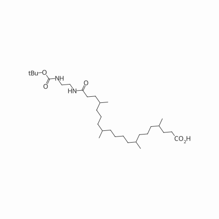 CC(CCCCC(C)CCCC(C)CCC(=O)NCCNC(=O)OC(C)(C)C)CCCC(C)CCC(=O)O